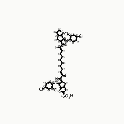 O=S(=O)(O)c1cc2c(s1)-c1c(c(/C(F)=C/CCCCCC/C=C(\F)c3nn(-c4ccc(Cl)cc4Cl)c4c3Cc3ccsc3-4)nn1-c1ccc(Cl)cc1Cl)C2